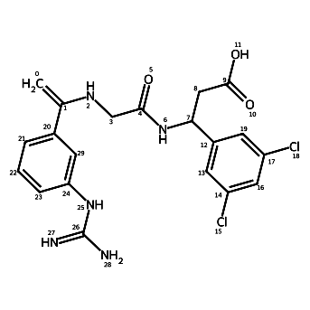 C=C(NCC(=O)NC(CC(=O)O)c1cc(Cl)cc(Cl)c1)c1cccc(NC(=N)N)c1